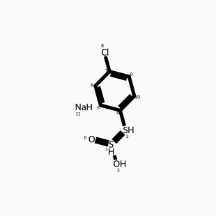 O=[SH](O)=[SH]c1ccc(Cl)cc1.[NaH]